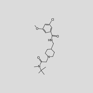 COc1cc(Cl)cc(C(=O)NCC2CCN(CC(=O)N(C)C(C)(C)C)CC2)c1